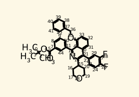 CC(C)(C)OC(=O)c1cccc(-c2nc(C3CCOCC3)c(-c3ccc(F)c(F)c3)c3cccc(OCc4ccccc4)c23)c1